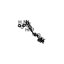 CC1=CC(C)=[N+]2C1=Cc1ccc(CCC(=O)N3CCN(C/C=C/C(=O)Nc4cccc(Oc5ncnc(N)c5-c5ccc(Oc6ccccc6)cc5)c4)CC3)n1[B-]2(F)F